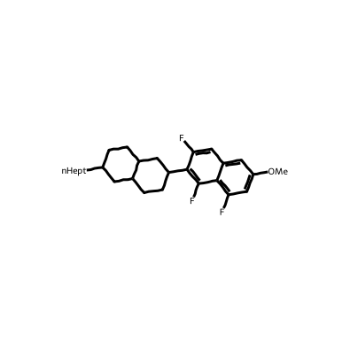 CCCCCCCC1CCC2CC(c3c(F)cc4cc(OC)cc(F)c4c3F)CCC2C1